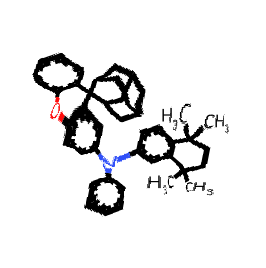 CC1(C)CCC(C)(C)c2cc(N(c3ccccc3)c3ccc4c(c3)C3(c5ccccc5O4)C4CC5CC(C4)CC3C5)ccc21